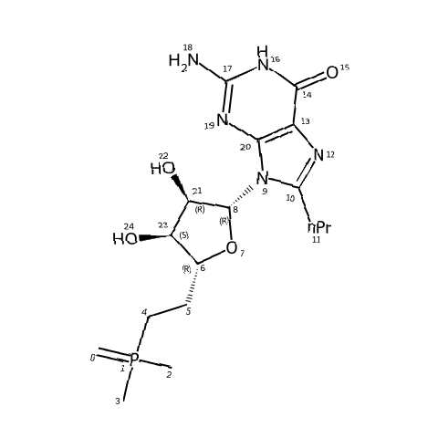 C=P(C)(C)CC[C@H]1O[C@@H](n2c(CCC)nc3c(=O)[nH]c(N)nc32)[C@H](O)[C@@H]1O